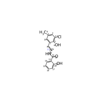 Cc1cc(Cl)c(O)c(/C=N/NC(=O)c2ccccc2O)c1